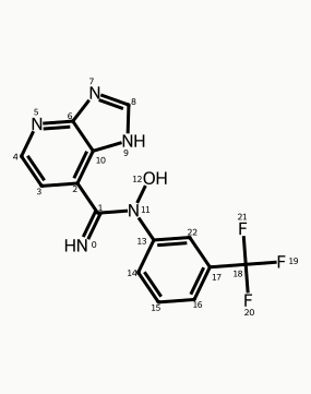 N=C(c1ccnc2nc[nH]c12)N(O)c1cccc(C(F)(F)F)c1